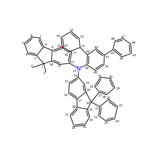 CC1(C)c2ccccc2-c2ccc(N(c3ccc4c(c3)C(c3ccccc3)(c3ccccc3)c3ccccc3-4)c3ccc(-c4ccccc4)cc3C3C=CC=CC3)cc21